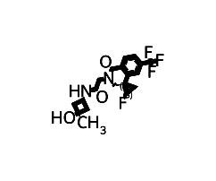 C[C@]1(O)C[C@H](NC(=O)CN2C[C@@]3(C[C@@H]3F)c3cc(C(F)(F)F)ccc3C2=O)C1